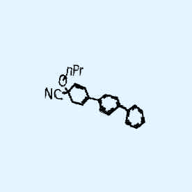 CCCOC1(C#N)C=CC(c2ccc(-c3ccccc3)cc2)=CC1